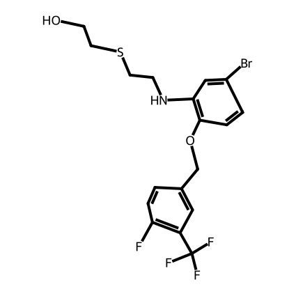 OCCSCCNc1cc(Br)ccc1OCc1ccc(F)c(C(F)(F)F)c1